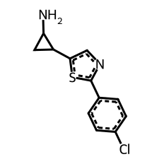 NC1CC1c1cnc(-c2ccc(Cl)cc2)s1